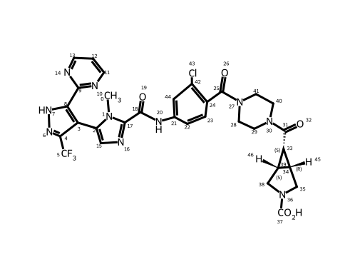 Cn1c(-c2c(C(F)(F)F)n[nH]c2-c2ncccn2)cnc1C(=O)Nc1ccc(C(=O)N2CCN(C(=O)[C@@H]3[C@@H]4CN(C(=O)O)C[C@@H]43)CC2)c(Cl)c1